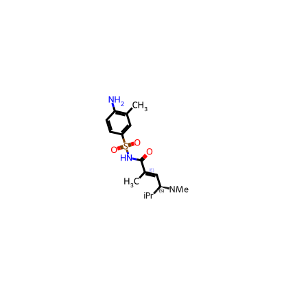 CN[C@H](/C=C(\C)C(=O)NS(=O)(=O)c1ccc(N)c(C)c1)C(C)C